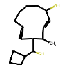 CC1/C=C/C(S)CCCC/C=C/C1C(S)C1CCC1